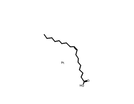 CCCCCCCC/C=C\CCCCCCCC(=O)O.[Pt]